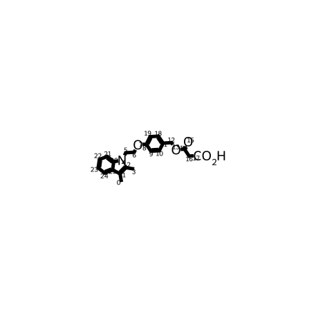 Cc1c(C)n(CCOc2ccc(COC(=O)CC(=O)O)cc2)c2ccccc12